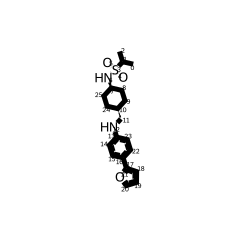 CC(C)S(=O)(=O)N[C@H]1CC[C@H](CNc2ccc(-c3ccco3)cc2)CC1